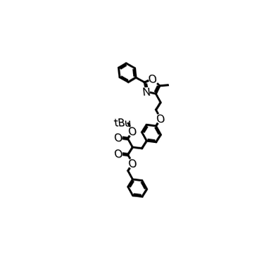 Cc1oc(-c2ccccc2)nc1CCOc1ccc(CC(C(=O)OCc2ccccc2)C(=O)OC(C)(C)C)cc1